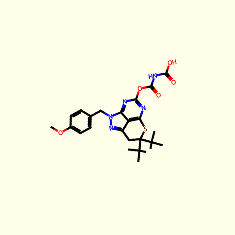 COc1ccc(Cn2nc3c4c(nc(OC(=O)NC(=O)O)nc42)SC(C(C)(C)C)(C(C)(C)C)C3)cc1